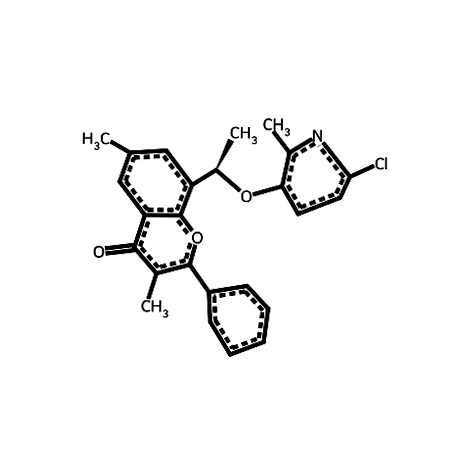 Cc1cc([C@@H](C)Oc2ccc(Cl)nc2C)c2oc(-c3ccccc3)c(C)c(=O)c2c1